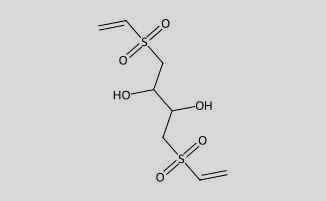 C=CS(=O)(=O)CC(O)C(O)CS(=O)(=O)C=C